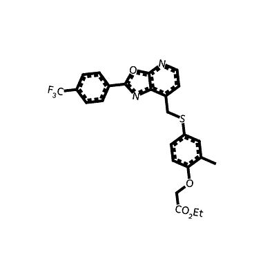 CCOC(=O)COc1ccc(SCc2ccnc3oc(-c4ccc(C(F)(F)F)cc4)nc23)cc1C